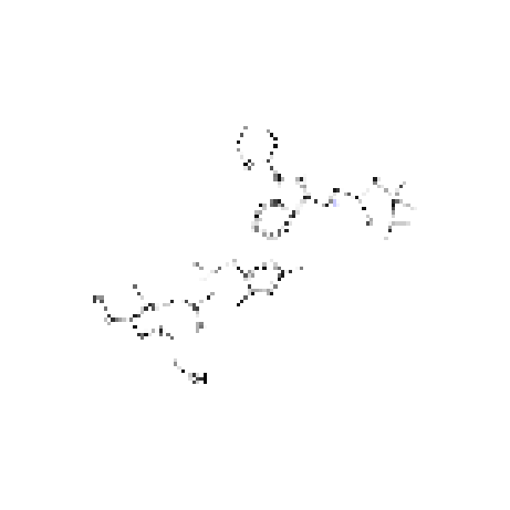 CCOc1nn(CCO)c(CN(C[C@H](C)Oc2c(-c3cc4c(/C=C/B5OC(C)(C)C(C)(C)O5)nn(C5CCCCO5)c4cn3)c(C)nn2C)C(C)C)c1I